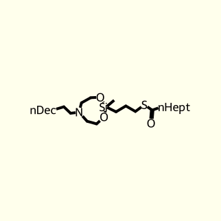 CCCCCCCCCCCCN1CCO[Si](C)(CCCSC(=O)CCCCCCC)OCC1